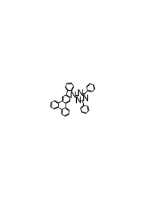 c1ccc(-c2nc(-c3ccccc3)nc(-n3c4ccccc4c4cc5c6ccccc6c6ccccc6c5cc43)n2)cc1